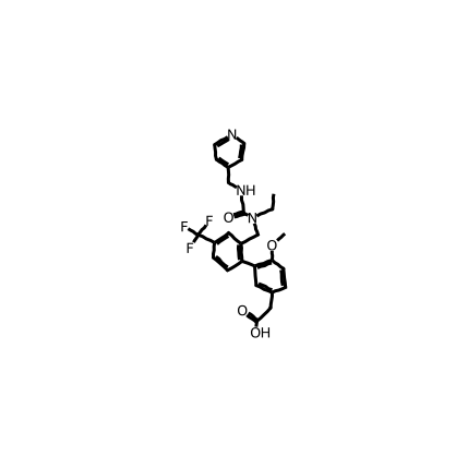 CCN(Cc1cc(C(F)(F)F)ccc1-c1cc(CC(=O)O)ccc1OC)C(=O)NCc1ccncc1